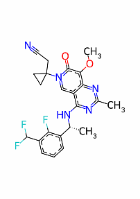 COc1c(=O)n(C2(CC#N)CC2)cc2c(N[C@H](C)c3cccc(C(F)F)c3F)nc(C)nc12